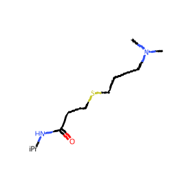 CC(C)NC(=O)CCSCCCN(C)C